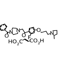 CC1CCCN1CCCOc1ccc(C(=O)CN2CCN(C(=O)c3ccccc3)CC2)c(F)c1.O=C(O)/C=C/C(=O)O